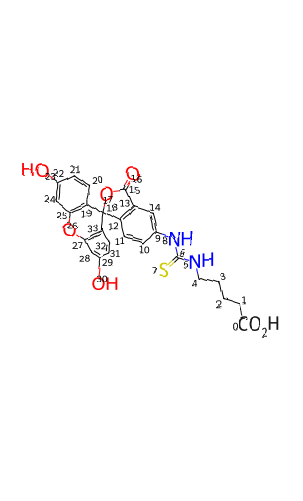 O=C(O)CCCCNC(=S)Nc1ccc2c(c1)C(=O)OC21c2ccc(O)cc2Oc2cc(O)ccc21